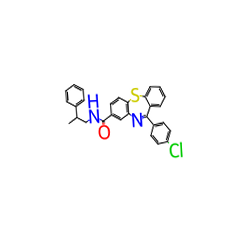 CC(CNC(=O)c1ccc2c(c1)N=C(c1ccc(Cl)cc1)c1ccccc1S2)c1ccccc1